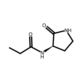 CCC(=O)N[C@@H]1CCNC1=O